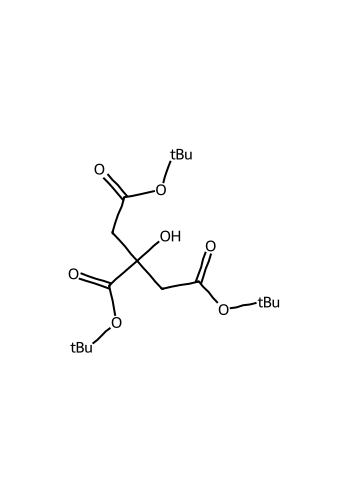 CC(C)(C)OC(=O)CC(O)(CC(=O)OC(C)(C)C)C(=O)OC(C)(C)C